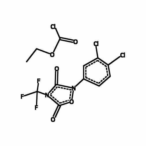 CCOC(=O)Cl.O=c1on(-c2ccc(Cl)c(Cl)c2)c(=O)n1C(F)(F)F